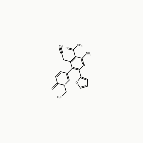 C#CCc1c(C(N)=O)c(N)nc(-c2ccco2)c1-c1ccc(=O)n(CC)c1